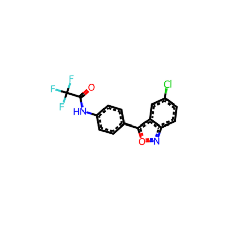 O=C(Nc1ccc(-c2onc3ccc(Cl)cc23)cc1)C(F)(F)F